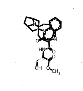 COC(=O)[C@H](CO)NC(=O)c1nc2ccccc2n(C2CC3CCC(C2)N3C2CCCCCCC2)c1=O